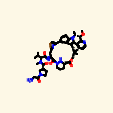 CCn1c(-c2cccnc2[C@H](C)OC)c2c3cc(ccc31)-c1csc(n1)C[C@H](NC(=O)[C@H](C(C)C)N(C)C(=O)[C@H]1CCN(C(=O)CN)C1)C(=O)N1CCC[C@H](N1)C(=O)OCC(C)(C)C2